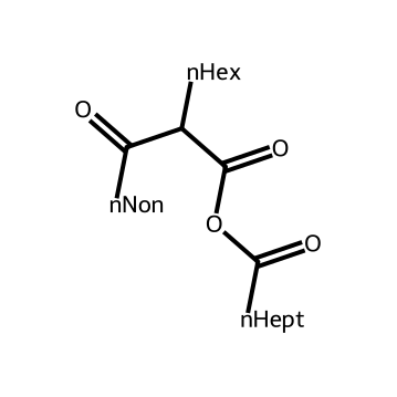 CCCCCCCCCC(=O)C(CCCCCC)C(=O)OC(=O)CCCCCCC